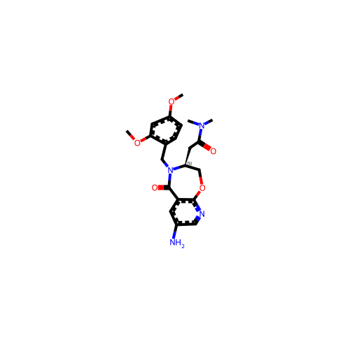 COc1ccc(CN2C(=O)c3cc(N)cnc3OC[C@@H]2CC(=O)N(C)C)c(OC)c1